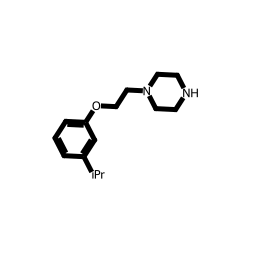 CC(C)c1cccc(OCCN2CCNCC2)c1